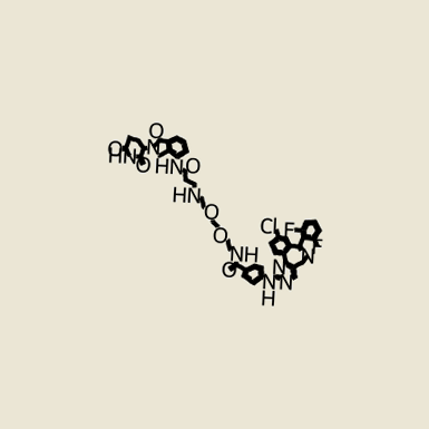 O=C1CCC(N2Cc3c(NC(=O)CCNCCOCCOCCNC(=O)c4ccc(Nc5ncc6c(n5)-c5ccc(Cl)cc5C(c5c(F)cccc5F)=NC6)cc4)cccc3C2=O)C(=O)N1